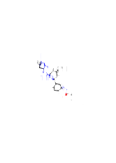 C=CC(=O)Nc1cccc(C2C=C(C)C=C(Nc3cc(CC)[nH]n3)N2)c1